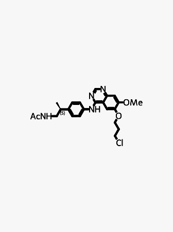 COc1cc2ncnc(Nc3ccc([C@H](C)CNC(C)=O)cc3)c2cc1OCCCCl